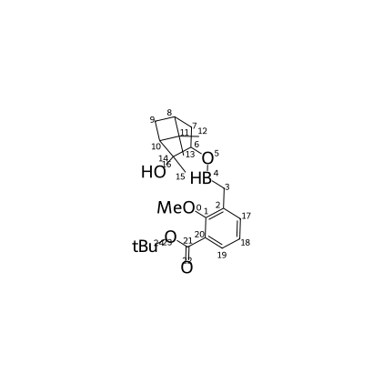 COc1c(CBOC2CC3CC(C3(C)C)C2(C)O)cccc1C(=O)OC(C)(C)C